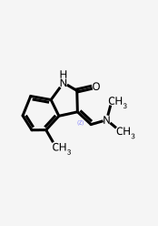 Cc1cccc2c1/C(=C/N(C)C)C(=O)N2